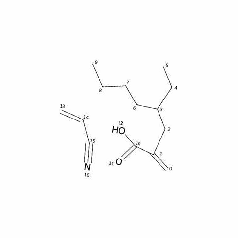 C=C(CC(CC)CCCC)C(=O)O.C=CC#N